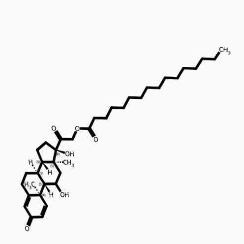 CCCCCCCCCCCCCCCC(=O)OCC(=O)[C@@]1(O)CC[C@H]2[C@@H]3CCC4=CC(=O)C=C[C@]4(C)[C@H]3C(O)C[C@@]21C